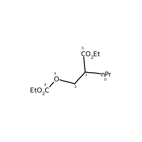 CCCC(COC(=O)OCC)C(=O)OCC